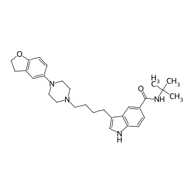 CC(C)(C)NC(=O)c1ccc2[nH]cc(CCCCN3CCN(c4ccc5c(c4)CCO5)CC3)c2c1